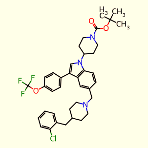 CC(C)(C)OC(=O)N1CCC(n2cc(-c3ccc(OC(F)(F)F)cc3)c3cc(CN4CCC(Cc5ccccc5Cl)CC4)ccc32)CC1